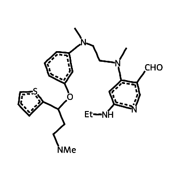 CCNc1cc(N(C)CCN(C)c2cccc(OC(CCNC)c3cccs3)c2)c(C=O)cn1